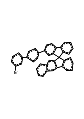 Brc1cccc(-c2ccc(-c3ccc4c(c3)C3(c5ccccc5-4)c4ccccc4-c4cc5ccccc5cc43)cc2)c1